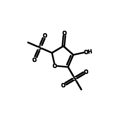 CS(=O)(=O)C1=C(O)C(=O)C(S(C)(=O)=O)O1